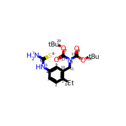 CCc1ccc(NC(N)=S)cc1CN(C(=O)OC(C)(C)C)C(=O)OC(C)(C)C